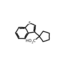 O=C(O)C1(c2csc3ccccc23)CCCC1